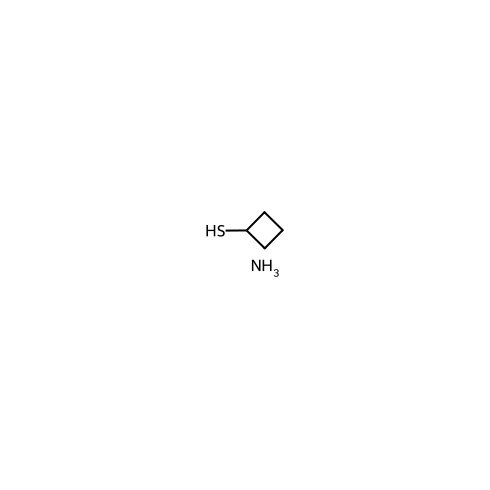 N.SC1CCC1